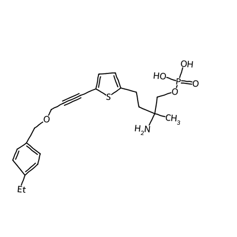 CCc1ccc(COCC#Cc2ccc(CCC(C)(N)COP(=O)(O)O)s2)cc1